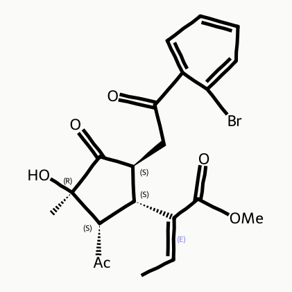 C/C=C(/C(=O)OC)[C@H]1[C@H](CC(=O)c2ccccc2Br)C(=O)[C@](C)(O)[C@H]1C(C)=O